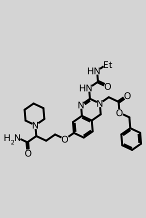 CCNC(=O)NC1=Nc2cc(OCCC(C(N)=O)N3CCCCC3)ccc2CN1CC(=O)OCc1ccccc1